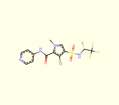 C[C@@H](NS(=O)(=O)c1cn(C)c(C(=O)Nc2ccncc2)c1Cl)C(F)(F)F